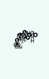 Cc1ccc2c(NC3CCCCC3O)cccc2c1Oc1ncccc1-c1ccnc(N[C@H]2CCCN(C(=O)OC(C)(C)C)C2)n1